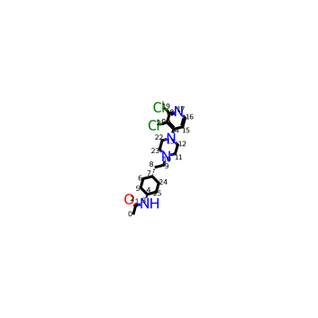 CC(=O)N[C@H]1CC[C@H](CCN2CCN(c3ccnc(Cl)c3Cl)CC2)CC1